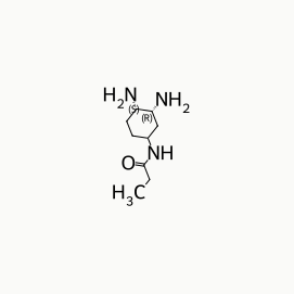 CCC(=O)NC1CC[C@H](N)[C@H](N)C1